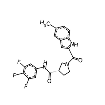 Cc1ccc2[nH]c(C(=O)N3CC[C@H](C(=O)Nc4cc(F)c(F)c(F)c4)C3)cc2c1